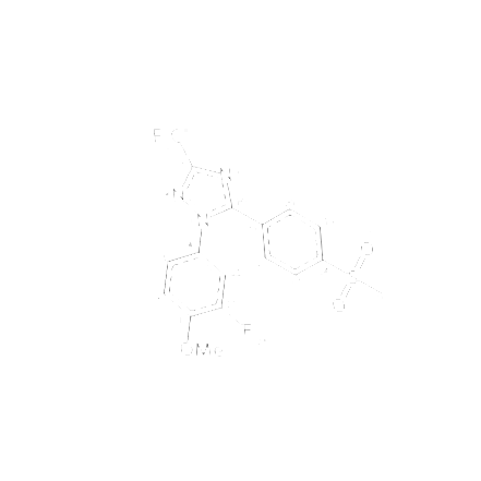 COc1ccc(-n2nc(C(F)(F)F)nc2-c2ccc(S(C)(=O)=O)cc2)cc1F